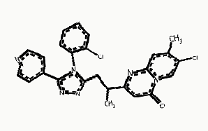 Cc1cc2nc(C(C)Cc3nnc(-c4ccncc4)n3-c3ccccc3Cl)cc(=O)n2cc1Cl